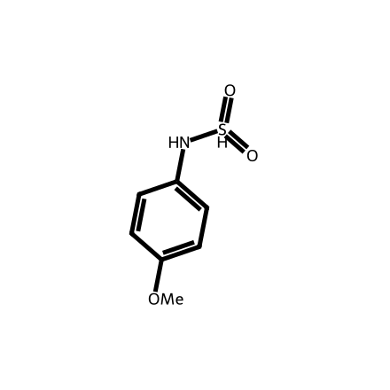 COc1ccc(N[SH](=O)=O)cc1